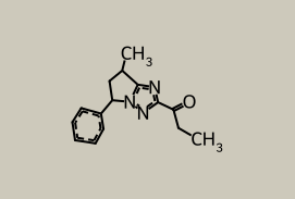 CCC(=O)c1nc2n(n1)C(c1ccccc1)CC2C